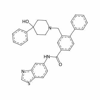 O=C(Nc1ccc2scnc2c1)c1ccc(-c2ccccc2)c(CN2CCC(O)(c3ccccc3)CC2)c1